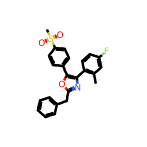 Cc1cc(F)ccc1-c1nc(Cc2ccccc2)oc1-c1ccc(S(C)(=O)=O)cc1